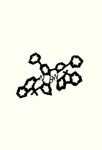 CC1(C)c2ccccc2-c2cccc(N3B4c5cccc6c5N(c5cc(-c7ccccc7)cc(c54)-c4ccc(-c5ccccc5)cc43)c3ccc4ccccc4c3C6(C)C)c21